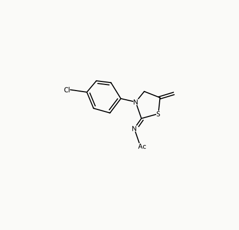 C=C1CN(c2ccc(Cl)cc2)C(=NC(C)=O)S1